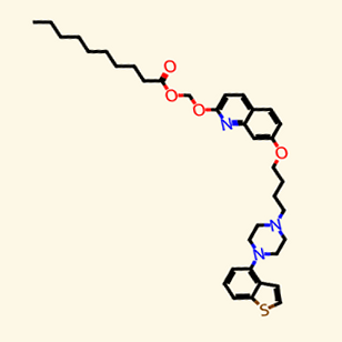 CCCCCCCCCC(=O)OCOc1ccc2ccc(OCCCCN3CCN(c4cccc5sccc45)CC3)cc2n1